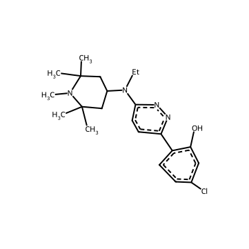 CCN(c1ccc(-c2ccc(Cl)cc2O)nn1)C1CC(C)(C)N(C)C(C)(C)C1